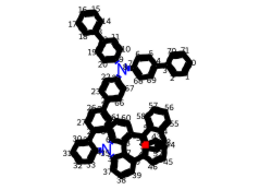 c1ccc(-c2ccc(N(c3ccc(-c4ccccc4)cc3)c3ccc(-c4ccc(-c5ccccc5-n5c6cccc(-c7ccccc7)c6c6c(-c7cccc8ccccc78)cccc65)cc4)cc3)cc2)cc1